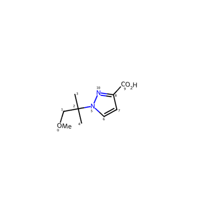 COCC(C)(C)n1ccc(C(=O)O)n1